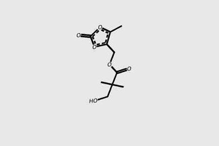 Cc1oc(=O)oc1COC(=O)C(C)(C)CO